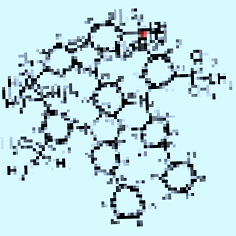 CC(C)(C)c1cc(N2c3ccc(-c4ccccc4)cc3B3c4cc(-c5ccccc5)ccc4N(c4cc(C(C)(C)C)cc(C(C)(C)C)c4)c4cc(-n5c6cc(C(C)(C)C)ccc6c6ccc(C(C)(C)C)cc65)cc2c43)cc(C(C)(C)C)c1